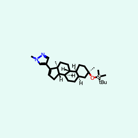 Cn1cc(C2=CC[C@H]3[C@@H]4CC[C@@H]5C[C@](C)(O[Si](C)(C)C(C)(C)C)CC[C@@H]5[C@H]4CC[C@]23C)cn1